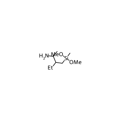 CCC(C[Si](C)(OC)OC)C(C)N